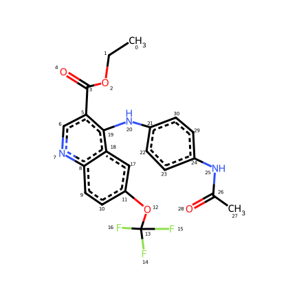 CCOC(=O)c1cnc2ccc(OC(F)(F)F)cc2c1Nc1ccc(NC(C)=O)cc1